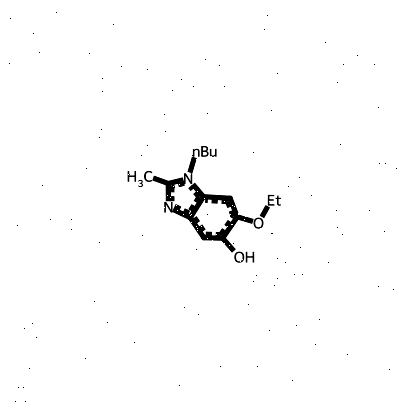 CCCCn1c(C)nc2cc(O)c(OCC)cc21